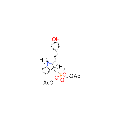 CC(=O)OCOP(=O)(CCC1(C)/C(=C/C=C/c2ccc(O)cc2)N(C)c2ccccc21)OCOC(C)=O